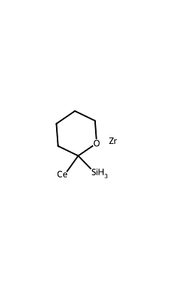 [SiH3][C]1([Ce])CCCCO1.[Zr]